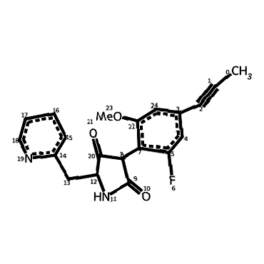 CC#Cc1cc(F)c(C2C(=O)NC(Cc3ccccn3)C2=O)c(OC)c1